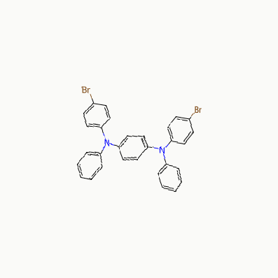 Brc1ccc(N(c2ccccc2)c2ccc(N(c3ccccc3)c3ccc(Br)cc3)cc2)cc1